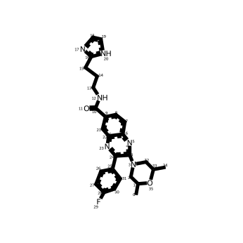 CC1CN(c2nc3ccc(C(=O)NCCCc4ncc[nH]4)cc3nc2-c2ccc(F)cc2)CC(C)O1